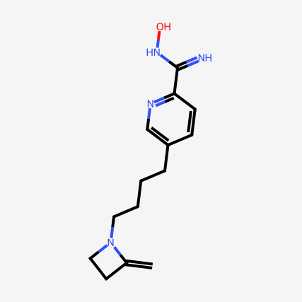 C=C1CCN1CCCCc1ccc(C(=N)NO)nc1